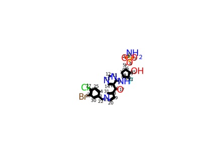 NS(=O)(=O)OC[C@H]1C[C@@H](Nc2ncncc2C(=O)c2ccn(Cc3ccc(Cl)c(Br)c3)c2)[C@@H](F)[C@@H]1O